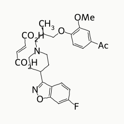 COc1cc(C(C)=O)ccc1OC[C@H](C)CN1CCC(c2noc3cc(F)ccc23)CC1.O=C(O)/C=C/C(=O)O